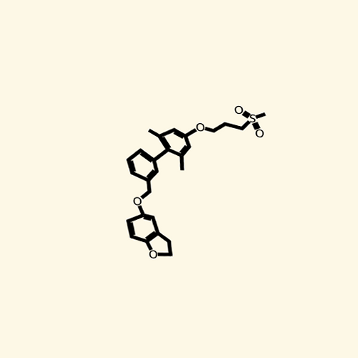 Cc1cc(OCCCS(C)(=O)=O)cc(C)c1-c1cccc(COc2ccc3c(c2)CCO3)c1